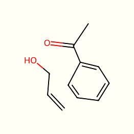 C=CCO.CC(=O)c1ccccc1